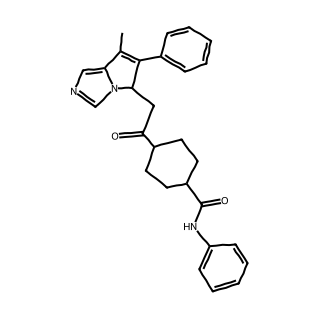 CC1=C(c2ccccc2)C(CC(=O)C2CCC(C(=O)Nc3ccccc3)CC2)n2cncc21